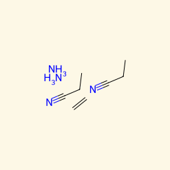 C=C.CCC#N.CCC#N.N.N